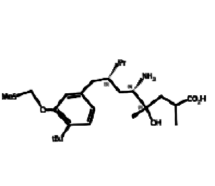 CSCOc1cc(C[C@@H](C[C@H](N)[C@@](C)(O)CC(C)C(=O)O)C(C)C)ccc1C(C)(C)C